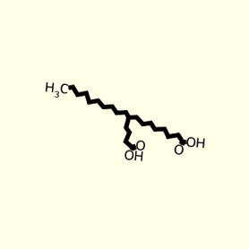 CCCCCCCCCCC(CCCCCCCC(=O)O)CCCC(=O)O